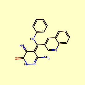 N=C1C(=O)NN=C(N)/C1=C(/Nc1ccccc1)c1cnc2ccccc2c1